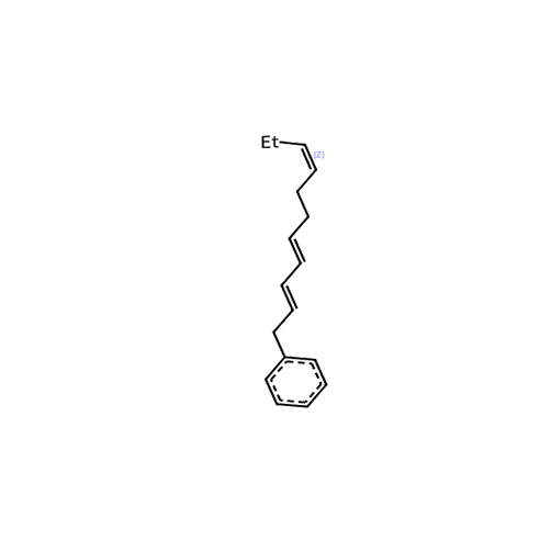 CC/C=C\CCC=CC=CCc1ccccc1